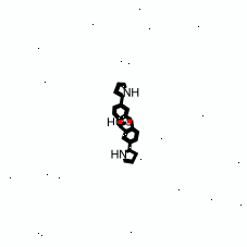 OC1SC2c3cc(-c4ccc[nH]4)ccc3C1c1cc(C3CC=CN3)ccc12